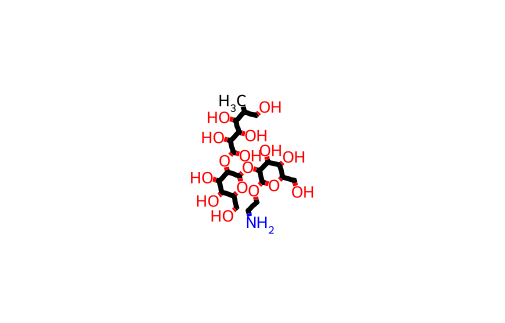 CC(CO)C(O)C(O)C(O)C(O)OC1C(OC2C(OCCN)OC(CO)C(O)C2O)OC(CO)C(O)C1O